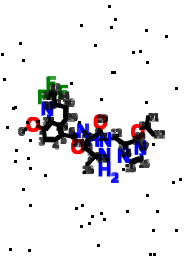 COc1ccc(-c2nc(C(=O)NCc3nccnc3OC(C)C)c([C@H](C)N)o2)c2ccc(C(F)(F)F)nc12